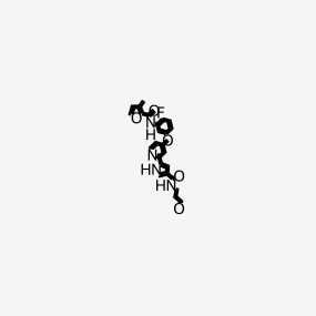 Cc1ccoc1C(=O)Nc1cc(Oc2ccnc(-c3cc(C(=O)NCCC=O)c[nH]3)c2)ccc1F